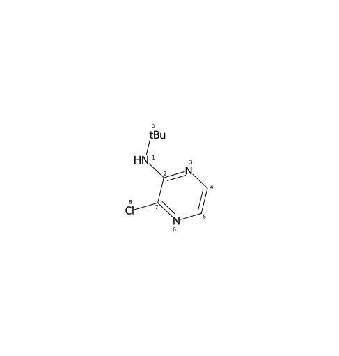 CC(C)(C)Nc1nccnc1Cl